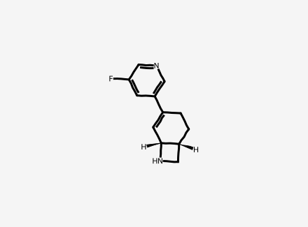 Fc1cncc(C2=C[C@H]3NC[C@H]3CC2)c1